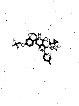 Cc1ccc(-n2nc3c(c2NC(=O)C2(S(C)(=O)=O)CC2)C(=O)N[C@@]2(CCOc4cc(OCC(F)(F)F)ccc42)C3)nc1